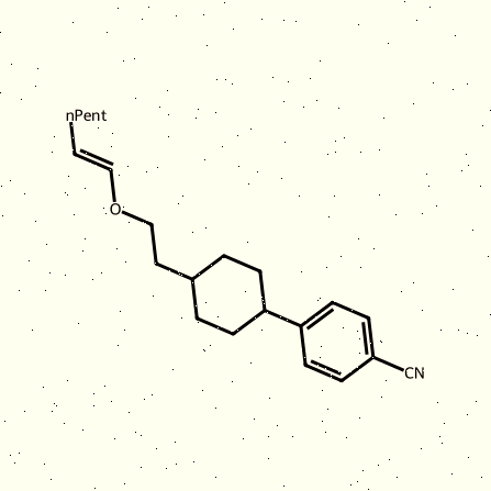 CCCCC/C=C/OCCC1CCC(c2ccc(C#N)cc2)CC1